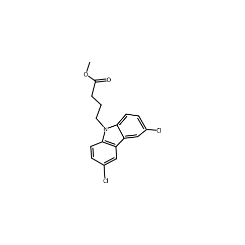 COC(=O)CCCn1c2ccc(Cl)cc2c2cc(Cl)ccc21